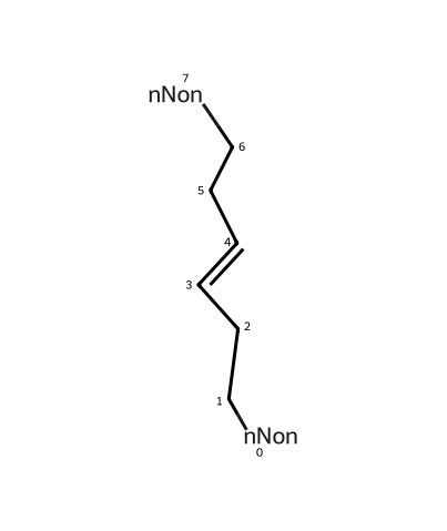 CCCCCCCCCCCC=CCCCCCCCCCCC